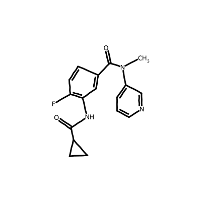 CN(C(=O)c1ccc(F)c(NC(=O)C2CC2)c1)c1cccnc1